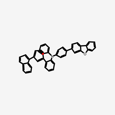 c1ccc(N(c2ccc(-c3ccc4c(c3)oc3ccccc34)cc2)c2ccccc2-c2cccc(-c3cccc4ccccc34)c2)cc1